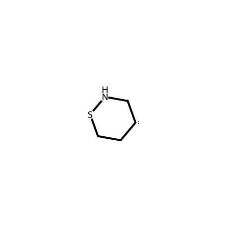 [C]1CCSNC1